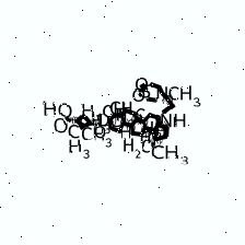 C=C(C)[C@@H]1CC[C@]2(NCC[C@H](C)N3CCS(=O)(=O)CC3)CC[C@]3(C)[C@H](CC[C@@H]4[C@@]5(C)CC[C@H](OC(=O)[C@H]6C[C@@H](C(=O)O)C6(C)C)C(C)(C)[C@@H]5CC[C@]43C)[C@@H]12